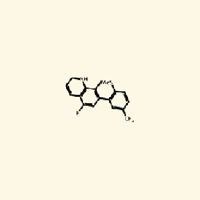 CSc1ccc(C(F)(F)F)cc1-c1cc(F)c2c(c1C)NCC=C2